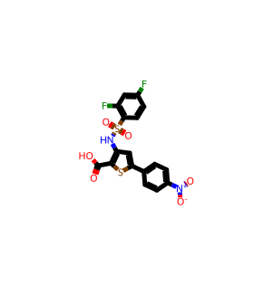 O=C(O)c1sc(-c2ccc([N+](=O)[O-])cc2)cc1NS(=O)(=O)c1ccc(F)cc1F